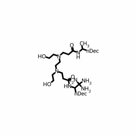 CCCCCCCCCCC(C)NC(=O)CCN(CCO)CCN(CCO)CCC(=O)NC(CCCCCCCCCC)C(N)(N)N